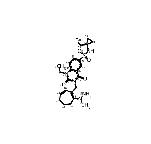 CCn1c(=O)n(CC2=C(N(C)N)CCCC=C2)c(=O)c2cc(S(=O)(=O)NC3(CF)CC3)ccc21